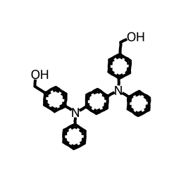 OCc1ccc(N(c2ccccc2)c2ccc(N(c3ccccc3)c3ccc(CO)cc3)cc2)cc1